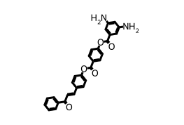 Nc1cc(N)cc(C(=O)Oc2ccc(C(=O)Oc3ccc(/C=C/C(=O)c4ccccc4)cc3)cc2)c1